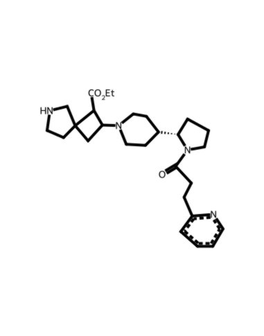 CCOC(=O)C1C(N2CCC([C@@H]3CCCN3C(=O)CCc3ccccn3)CC2)CC12CCNC2